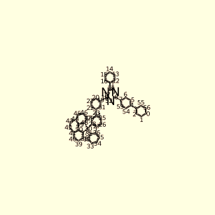 c1ccc(-c2ccc(-c3nc(-c4ccccc4)nc(-c4cccc(-c5ccc6c(c5)C5(c7ccccc7-6)c6cccc7ccc8cccc5c8c67)c4)n3)cc2)cc1